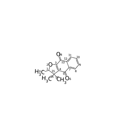 CC1OC2=C(C(=O)c3ccccc3C2=O)C1(C)C